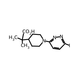 CC(C)(C(=O)O)C1CCN(c2ccc(I)nn2)CC1